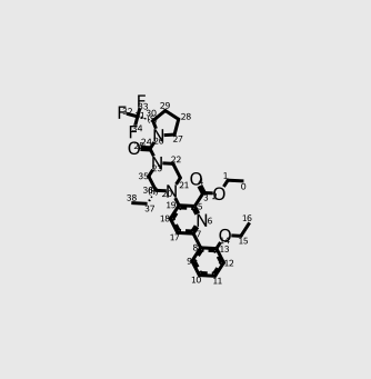 CCOC(=O)c1nc(-c2ccccc2OCC)ccc1N1CCN(C(=O)N2CCC[C@H]2C(F)(F)F)C[C@H]1CC